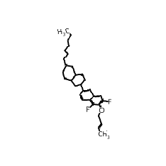 CC=CCOc1c(F)cc2cc(C3CCC4CC(CCCCCCC)CCC4C3)ccc2c1F